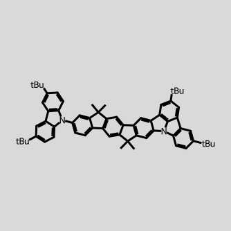 CC(C)(C)c1ccc2c(c1)c1cc(C(C)(C)C)ccc1n2-c1ccc2c(c1)C(C)(C)c1cc3c(cc1-2)C(C)(C)c1cc2c(cc1-3)c1cc(C(C)(C)C)cc3c4cc(C(C)(C)C)ccc4n2c31